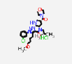 COCCCCc1c(C(=O)N(CC(C)C)[C@@H]2CNC[C@H](C(=O)N3CCOCC3)C2)nnn1-c1cccc(Cl)c1.Cl